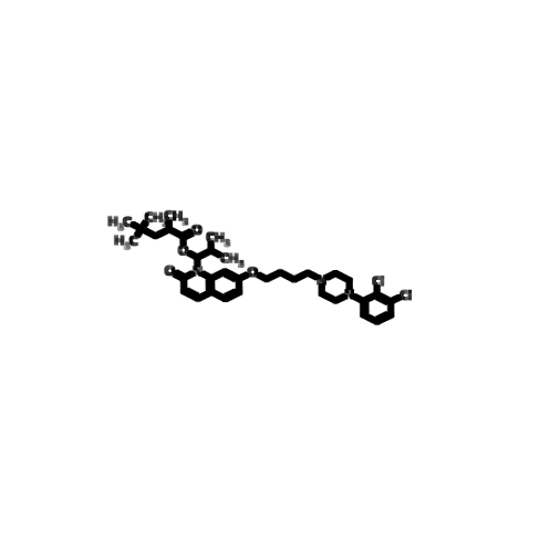 CC(CC(C)(C)C)C(=O)OC(C(C)C)n1c(=O)ccc2ccc(OCCCCN3CCN(c4cccc(Cl)c4Cl)CC3)cc21